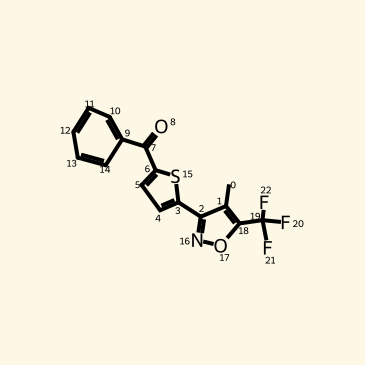 Cc1c(-c2ccc(C(=O)c3ccccc3)s2)noc1C(F)(F)F